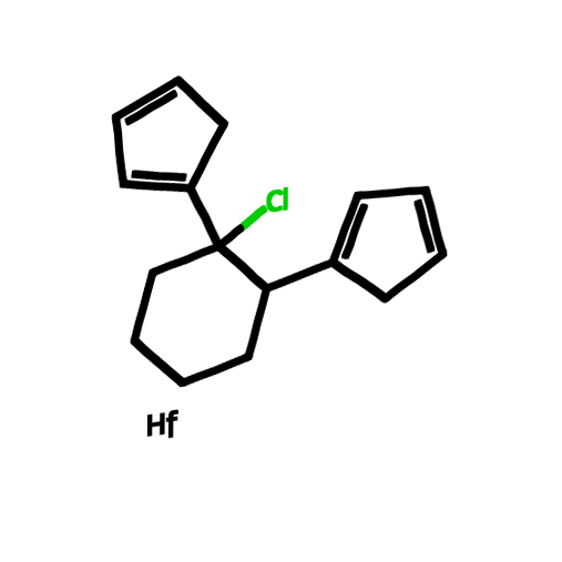 ClC1(C2=CC=CC2)CCCCC1C1=CC=CC1.[Hf]